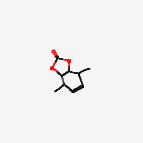 CC1C=CC(C)C2OC(=O)OC12